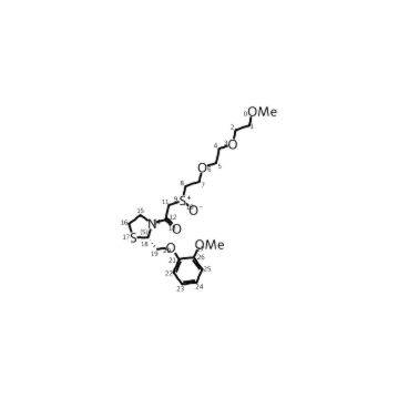 COCCOCCOCC[S+]([O-])CC(=O)N1CCS[C@H]1COc1ccccc1OC